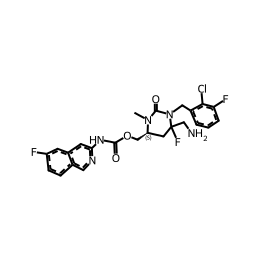 CN1C(=O)N(Cc2cccc(F)c2Cl)C(F)(CN)C[C@H]1COC(=O)Nc1cc2cc(F)ccc2cn1